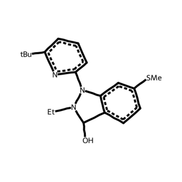 CCN1C(O)c2ccc(SC)cc2N1c1cccc(C(C)(C)C)n1